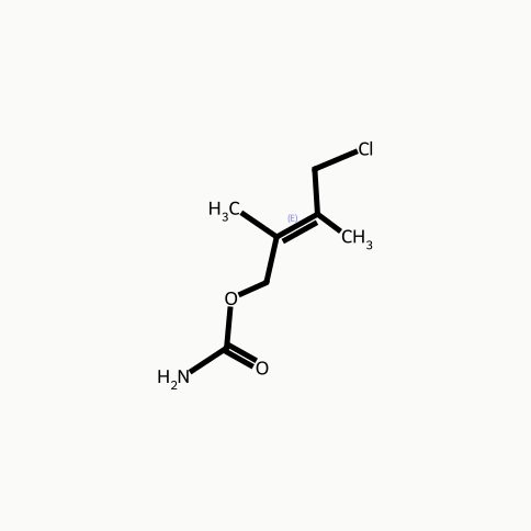 C/C(CCl)=C(/C)COC(N)=O